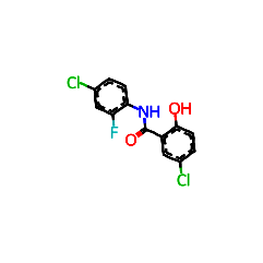 O=C(Nc1ccc(Cl)cc1F)c1cc(Cl)ccc1O